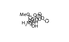 COc1cccc(CC2(C(=O)N[C@H](C(N)=O)[C@@H](C)O)CCCN2C(=O)[C@@H]2CCCN2C(=O)OCc2ccccc2)c1